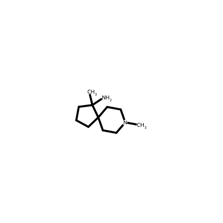 CN1CCC2(CCCC2(C)N)CC1